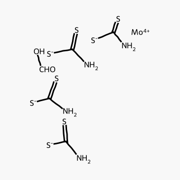 NC(=S)[S-].NC(=S)[S-].NC(=S)[S-].NC(=S)[S-].O=CO.[Mo+4]